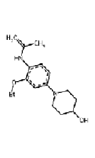 C=C(C)Nc1ccc(N2CCC(O)CC2)cc1OCC